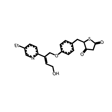 CCc1ccc(C(=CCO)COc2ccc(CC3SC(=O)CC3=O)cc2)nc1